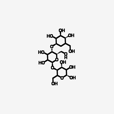 OCC1C[C@@H](O[C@H]2C(O)C(O)[C@H](O[C@@H]3C(CO)O[C@@H](O)C(O)[C@H]3O)O[C@H]2CO)C(O)[C@@H](O)[C@@H]1O